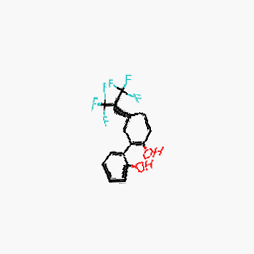 OC1=C(c2ccccc2O)CC(=C(C(F)(F)F)C(F)(F)F)C=C1